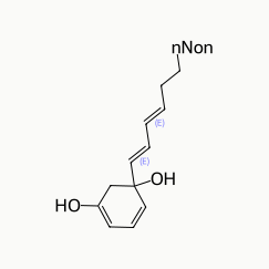 CCCCCCCCCCC/C=C/C=C/C1(O)C=CC=C(O)C1